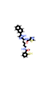 O=C(N[C@@H](CCCCNC(=O)c1ccccc1S)c1ncc(-c2ccc3ccccc3c2)[nH]1)c1cncs1